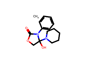 C.O=C1OCC(O)(N2CCCCC2)N1c1ccccc1